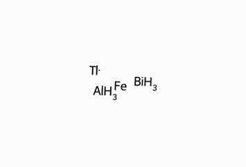 [AlH3].[BiH3].[Fe].[Tl]